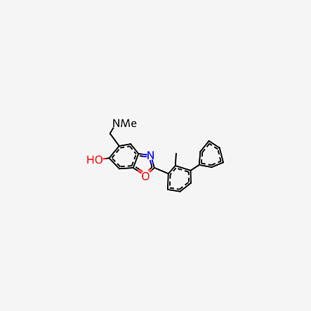 CNCc1cc2nc(-c3cccc(-c4ccccc4)c3C)oc2cc1O